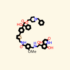 COc1cc(C(=O)NCc2ccc(-c3ccc(C(O)(C(=O)OCC4CCN(Cc5ccccc5)CC4)c4ccccc4)cc3)s2)ccc1CNCC(O)c1ccc(O)c2[nH]c(=O)ccc12